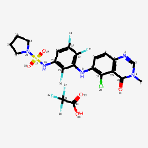 Cn1cnc2ccc(Nc3c(F)c(F)cc(NS(=O)(=O)N4CCCC4)c3F)c(Cl)c2c1=O.O=C(O)C(F)(F)F